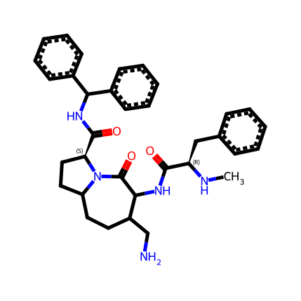 CN[C@H](Cc1ccccc1)C(=O)NC1C(=O)N2C(CCC1CN)CC[C@H]2C(=O)NC(c1ccccc1)c1ccccc1